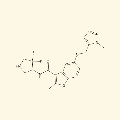 Cc1oc2ccc(OCc3ccnn3C)cc2c1C(=O)NC1CNCC1(F)F